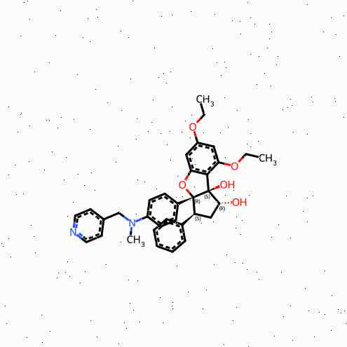 CCOc1cc(OCC)c2c(c1)O[C@@]1(c3ccc(N(C)Cc4ccncc4)cc3)[C@H](c3ccccc3)C[C@@H](O)[C@@]21O